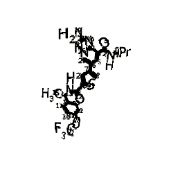 CC(C)NC(=O)c1cc(-c2csc(C(=O)N[C@@H](C)c3ccc(OC(F)(F)F)cc3)c2)cn2nc(N)nc12